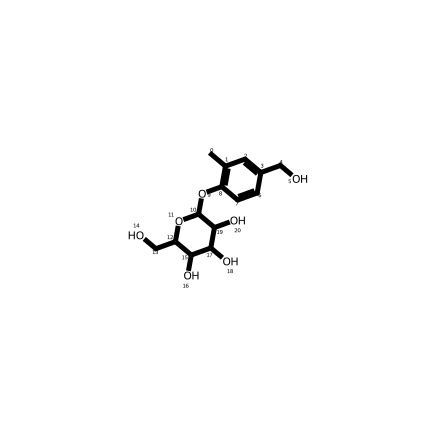 Cc1cc(CO)ccc1OC1OC(CO)C(O)C(O)C1O